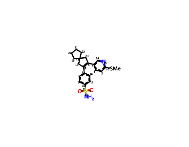 CSc1ccc(C2=C(c3ccc(S(N)(=O)=O)cc3)CC3(CCCC3)C2)cn1